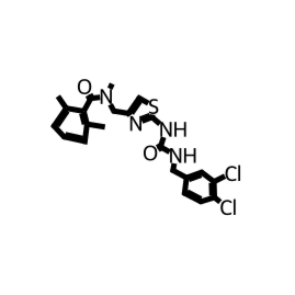 Cc1cccc(C)c1C(=O)N(C)Cc1csc(NC(=O)NCc2ccc(Cl)c(Cl)c2)n1